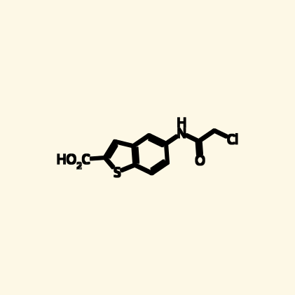 O=C(CCl)Nc1ccc2sc(C(=O)O)cc2c1